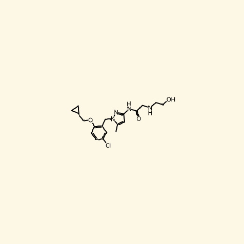 Cc1cc(NC(=O)CNCCO)nn1Cc1cc(Cl)ccc1OCC1CC1